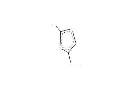 O=C(O)c1c[nH]c(Cl)n1